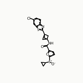 O=C(NC12CC(c3nc4ccc(Cl)cc4s3)(C1)C2)c1ccc([S+]([O-])C2CC2)o1